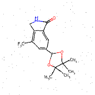 CC1(C)OB(c2cc3c(c(C(F)(F)F)c2)CNC3=O)OC1(C)C